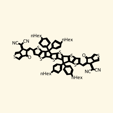 CCCCCCc1ccc(C2(c3ccc(CCCCCC)cc3)c3c(sc4cc(/C=C5\C(=O)c6cscc6C5=C(C#N)C#N)sc34)-c3sc4c5c(sc4c32)-c2sc3cc(/C=C4\C(=O)c6cscc6C4=C(C#N)C#N)sc3c2C5(c2ccc(CCCCCC)cc2)c2ccc(CCCCCC)cc2)cc1